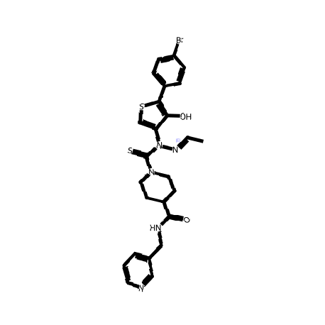 C/C=N/N(C(=S)N1CCC(C(=O)NCc2cccnc2)CC1)c1csc(-c2ccc(Br)cc2)c1O